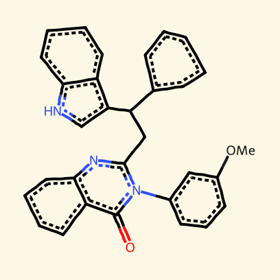 COc1cccc(-n2c(CC(c3ccccc3)c3c[nH]c4ccccc34)nc3ccccc3c2=O)c1